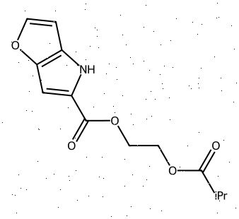 CC(C)C(=O)OCCOC(=O)c1cc2occc2[nH]1